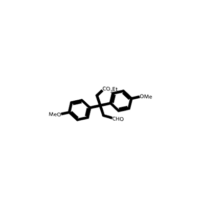 CCOC(=O)CC(CC=O)(c1ccc(OC)cc1)c1ccc(OC)cc1